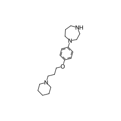 c1cc(N2CCCNCC2)ccc1OCCCN1CCCCC1